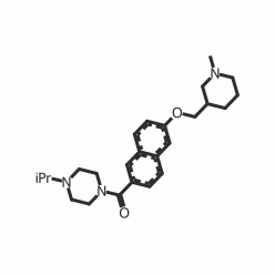 CC(C)N1CCN(C(=O)c2ccc3cc(OCC4CCCN(C)C4)ccc3c2)CC1